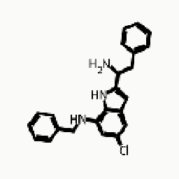 NC(Cc1ccccc1)c1cc2cc(Cl)cc(NCc3ccccc3)c2[nH]1